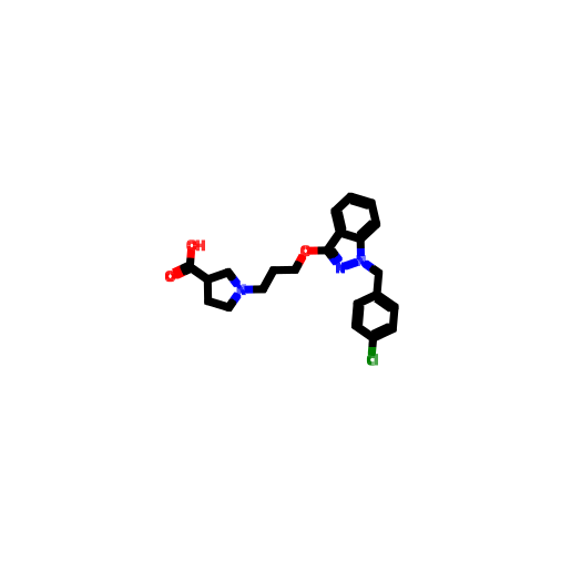 O=C(O)C1CCN(CCCOc2nn(Cc3ccc(Cl)cc3)c3ccccc23)C1